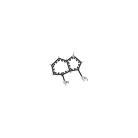 Cc1csc2cccc(O)c12